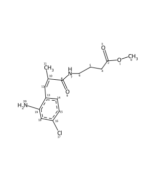 COC(=O)CCCNC(=O)C(C)=Cc1ccc(Cl)cc1N